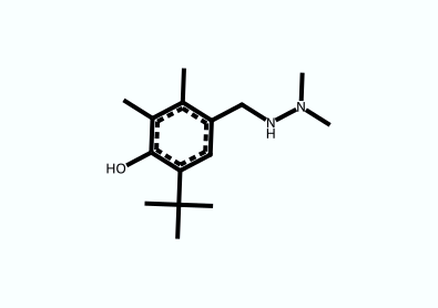 Cc1c(CNN(C)C)cc(C(C)(C)C)c(O)c1C